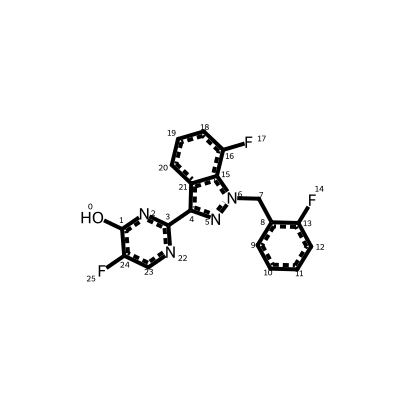 Oc1nc(-c2nn(Cc3ccccc3F)c3c(F)cccc23)ncc1F